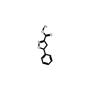 CC(C)OC(=O)C1=NOC(c2ccccc2)C1